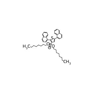 CCCCCCCCOP(=O)(OCCCCCCCC)c1cc(-c2cccc3ccccc23)sc1-c1cccc2ccccc12